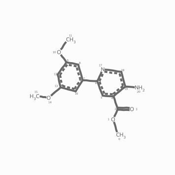 COC(=O)c1cc(-c2cc(OC)cc(OC)c2)ncc1N